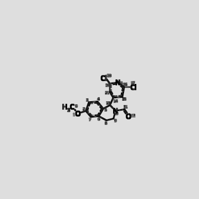 COc1ccc2c(c1)CCN(C=O)C2c1cc(Cl)nc(Cl)c1